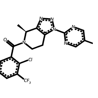 C[C@H]1c2nnn(-c3ncc(F)cn3)c2CCN1C(=O)c1cccc(C(F)(F)F)c1Cl